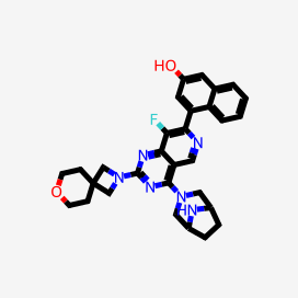 Oc1cc(-c2ncc3c(N4CC5CCC(C4)N5)nc(N4CC5(CCOCC5)C4)nc3c2F)c2ccccc2c1